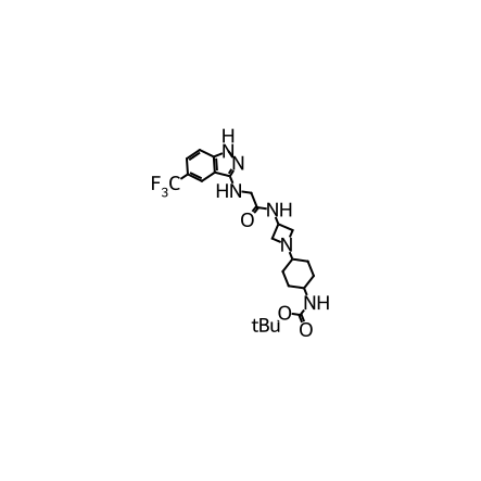 CC(C)(C)OC(=O)NC1CCC(N2CC(NC(=O)CNc3n[nH]c4ccc(C(F)(F)F)cc34)C2)CC1